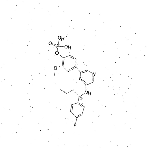 CCC[C@H](Nc1cncc(-c2ccc(OP(=O)(O)O)c(OC)c2)n1)c1ccc(F)cc1